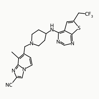 Cc1c(CN2CCC(Nc3ncnc4sc(CC(F)(F)F)cc34)CC2)ccn2cc(C#N)nc12